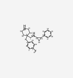 Fc1ccc(CC2(CNC3CC3c3ccccc3)CCNCC2)cc1